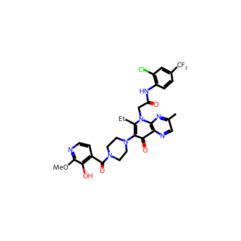 CCc1c(N2CCN(C(=O)c3ccnc(OC)c3O)CC2)c(=O)c2ncc(C)nc2n1CC(=O)Nc1ccc(C(F)(F)F)cc1Cl